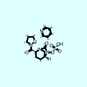 O=C([C@@H]1CC[C@@H]2CN1C(=O)N2OS(=O)(=O)O)N1CCCO1.c1ccncc1